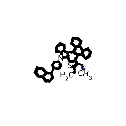 C=Cc1sc2c(c1/C=C\C)c1c3ccccc3c3ccccc3c1c1c3ccccc3n(-c3ccc(-c4cccc5ccccc45)cc3)c21